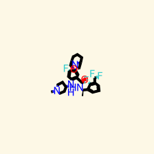 C[C@@H](NC(=O)c1cc(N2C3CCCC2COC3)c(F)cc1NC1CCN(C)CC1)c1cccc(C(F)F)c1F